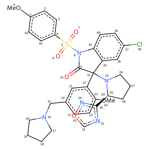 COc1ccc(S(=O)(=O)N2C(=O)C(c3cc(CN4CCCC4)ccc3OC)(N3CCC[C@H]3c3ncon3)c3cc(Cl)ccc32)cc1